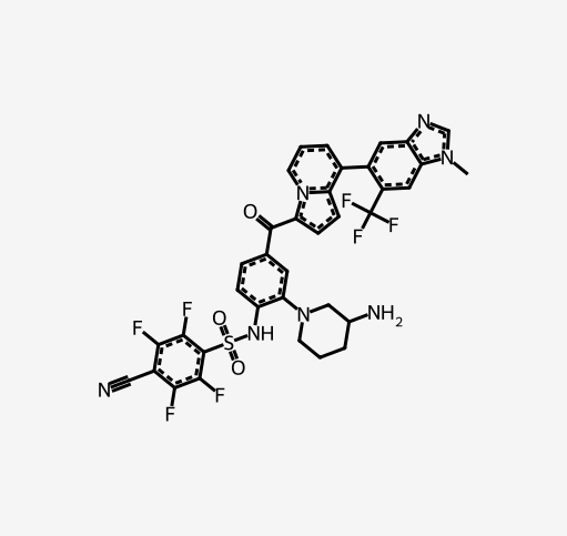 Cn1cnc2cc(-c3cccn4c(C(=O)c5ccc(NS(=O)(=O)c6c(F)c(F)c(C#N)c(F)c6F)c(N6CCCC(N)C6)c5)ccc34)c(C(F)(F)F)cc21